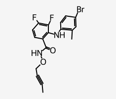 CC#CCONC(=O)c1ccc(F)c(F)c1Nc1ccc(Br)cc1C